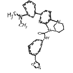 CN(C)c1cccc(-c2ccc3c(n2)N(C(=O)Nc2cccc(-c4cnco4)c2)C2CCCN3C2)c1